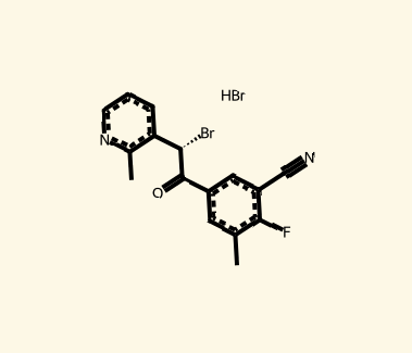 Br.Cc1cc(C(=O)[C@@H](Br)c2cccnc2C)cc(C#N)c1F